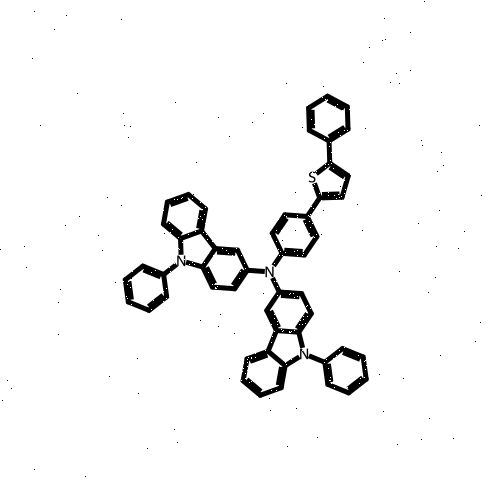 c1ccc(-c2ccc(-c3ccc(N(c4ccc5c(c4)c4ccccc4n5-c4ccccc4)c4ccc5c(c4)c4ccccc4n5-c4ccccc4)cc3)s2)cc1